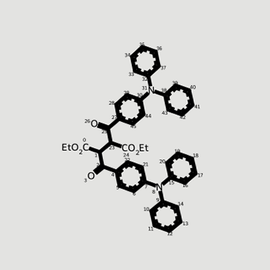 CCOC(=O)C(C(=O)c1ccc(N(c2ccccc2)c2ccccc2)cc1)C(C(=O)OCC)C(=O)c1ccc(N(c2ccccc2)c2ccccc2)cc1